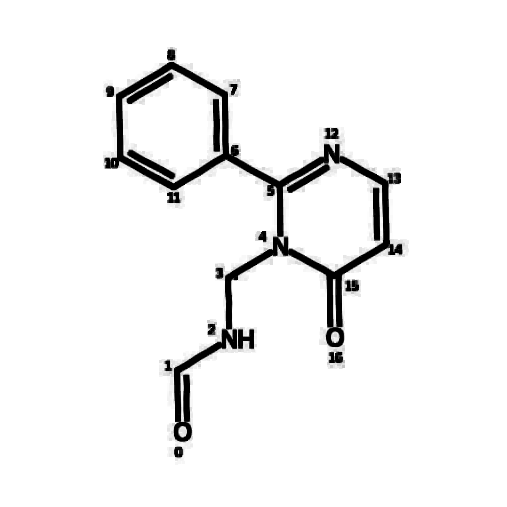 O=CN[CH]n1c(-c2ccccc2)nccc1=O